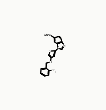 COc1ccc2ncn(-c3cc(OCc4ccccc4C(F)(F)F)cs3)c2c1